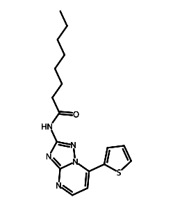 CCCCCCCC(=O)Nc1nc2nccc(-c3cccs3)n2n1